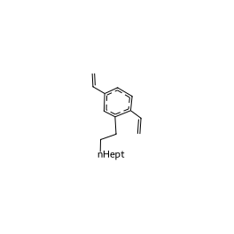 C=Cc1ccc(C=C)c(CCCCCCCCC)c1